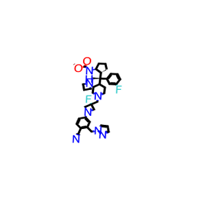 COC(=O)N[C@H]1CCC[C@@H]1[C@](CN1CCC1)(c1cccc(F)c1)C1CCN(CC2(F)CN(c3ccc(C#N)c(Cn4cccn4)c3)C2)CC1